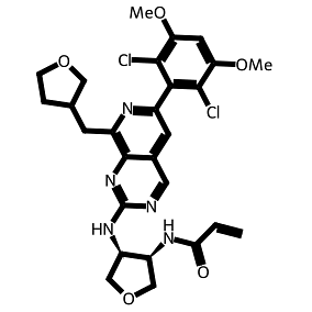 C=CC(=O)N[C@H]1COC[C@H]1Nc1ncc2cc(-c3c(Cl)c(OC)cc(OC)c3Cl)nc(CC3CCOC3)c2n1